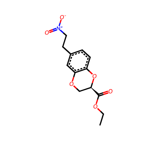 CCOC(=O)[C@H]1COc2cc(CC[N+](=O)[O-])ccc2O1